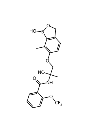 Cc1c(OCC(C)(C#N)NC(=O)c2ccccc2OC(F)(F)F)ccc2c1B(O)OC2